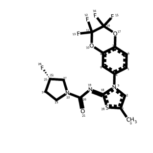 Cc1cn(-c2ccc3c(c2)OC(F)(F)C(F)(F)O3)c(=NC(=O)N2CC[C@H](F)C2)s1